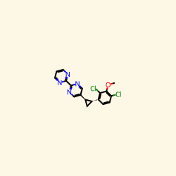 COc1c(Cl)ccc([C@@H]2C[C@H]2c2cnc(-c3ncccn3)nc2)c1Cl